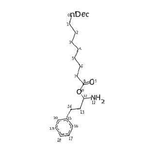 CCCCCCCCCCCCCCCCCC(=O)OC(N)CCc1ccccc1